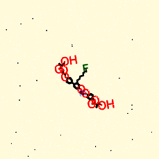 C=C(CO)C(=O)OCCOc1ccc(-c2ccc(O/C=C\Oc3ccc(OC(=O)C(=C)CO)cc3)cc2CCCCCCF)cc1